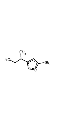 CC(CO)c1coc(C(C)(C)C)c1